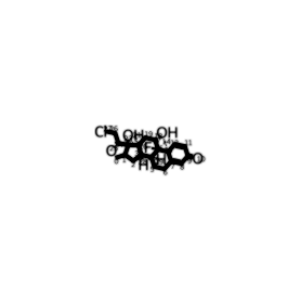 CC1C[C@H]2[C@@H]3CCC4=CC(=O)C=C[C@]4(C)[C@@]3(F)C(O)C[C@]2(C)[C@@]1(O)C(=O)CCl